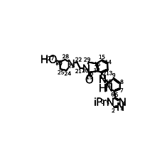 CC(C)n1cnnc1-c1cccc(Nc2cccc3c2C(=O)N(CCN2CC[C@@H](O)C2)C3)n1